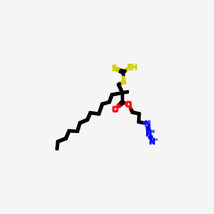 CCCCCCCCCCCCC(C)(CSC(=S)S)C(=O)OCCCN=[N+]=[N-]